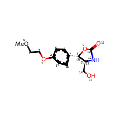 COCCOc1ccc([C@@H]2OC(=O)N[C@H]2CO)cc1